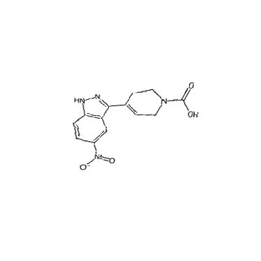 O=C(O)N1CC=C(c2n[nH]c3ccc([N+](=O)[O-])cc23)CC1